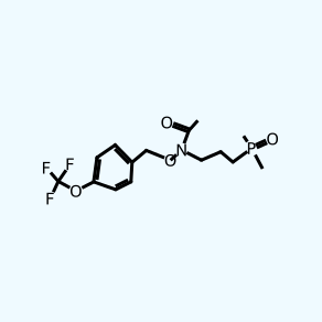 CC(=O)N(CCCP(C)(C)=O)OCc1ccc(OC(F)(F)F)cc1